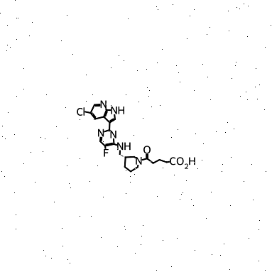 O=C(O)CCCC(=O)N1CCC[C@H](CNc2nc(-c3c[nH]c4ncc(Cl)cc34)ncc2F)C1